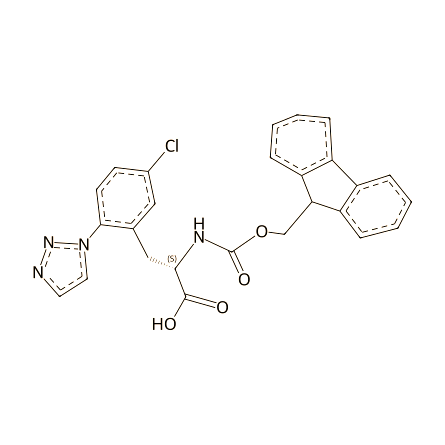 O=C(N[C@@H](Cc1cc(Cl)ccc1-n1ccnn1)C(=O)O)OCC1c2ccccc2-c2ccccc21